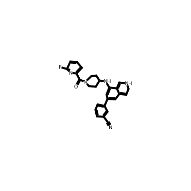 N#Cc1cccc(-c2cc(NC3CCN(C(=O)c4cccc(F)n4)CC3)c3c(c2)=CCNC=3)c1